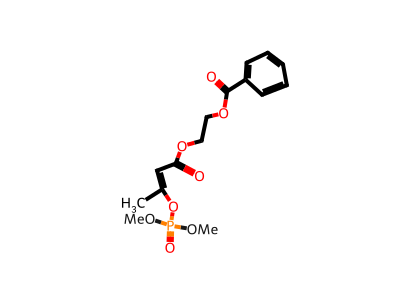 COP(=O)(OC)OC(C)=CC(=O)OCCOC(=O)c1ccccc1